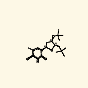 Cc1cn([C@H]2C[C@@H](OC(C)(C)C)[C@@H](CC(C)(C)C)O2)c(=O)[nH]c1=O